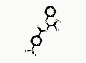 C=C(Cl)C(OC(=O)c1ccc([N+](=O)[O-])cc1)Oc1ccccc1